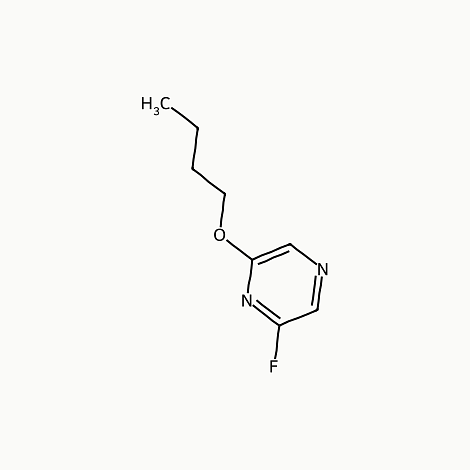 CCCCOc1cncc(F)n1